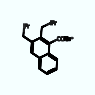 CC(C)Cc1cc2ccccc2c(C(=O)[O-])c1CC(C)C.[Na+]